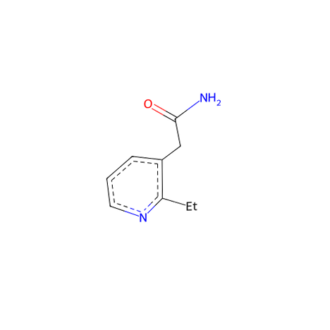 CCc1ncccc1CC(N)=O